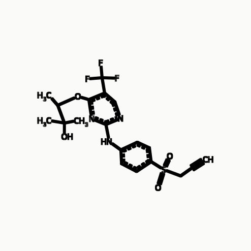 C#CCS(=O)(=O)c1ccc(Nc2ncc(C(F)(F)F)c(OC(C)C(C)(C)O)n2)cc1